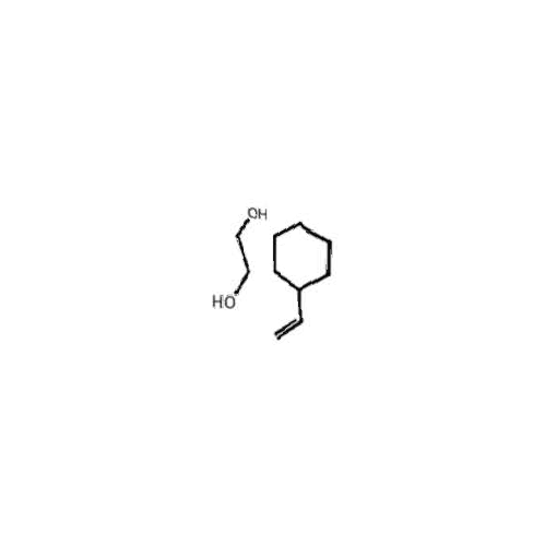 C=CC1CCCCC1.OCCO